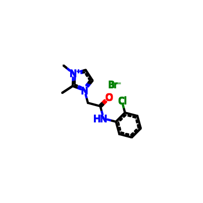 Cc1n(CC(=O)Nc2ccccc2Cl)cc[n+]1C.[Br-]